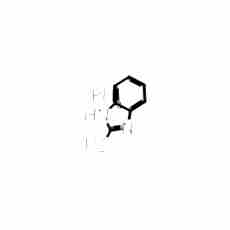 P.Sc1nc2ccccc2[nH]1